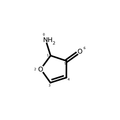 NC1OC=CC1=O